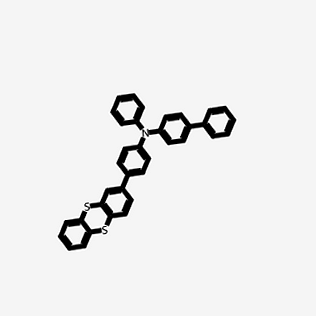 c1ccc(-c2ccc(N(c3ccccc3)c3ccc(-c4ccc5c(c4)Sc4ccccc4S5)cc3)cc2)cc1